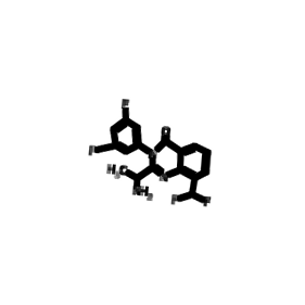 CC(N)c1nc2c(C(F)F)cccc2c(=O)n1-c1cc(F)cc(F)c1